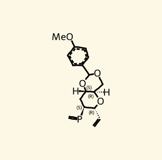 C=C[C@H]1O[C@@H]2COC(c3ccc(OC)cc3)O[C@H]2C[C@@H]1P=C